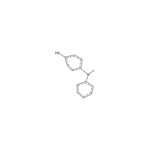 CN(c1ccccc1)c1ccc(S)cc1